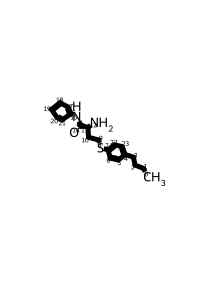 CCCCc1ccc(SCCC(N)C(=O)Nc2ccccc2)cc1